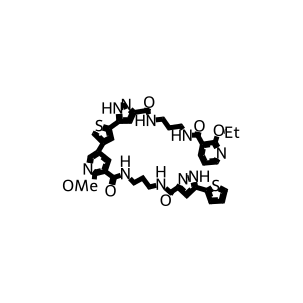 CCOc1ncccc1C(=O)NCCCNC(=O)c1cc(-c2cc(-c3cnc(OC)c(C(=O)NCCCNC(=O)c4cc(-c5cccs5)[nH]n4)c3)cs2)[nH]n1